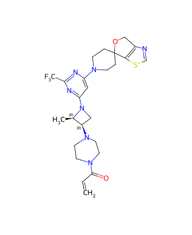 C=CC(=O)N1CCN([C@@H]2CN(c3cc(N4CCC5(CC4)OCc4ncsc45)nc(C(F)(F)F)n3)[C@@H]2C)CC1